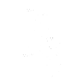 COC(=O)Cc1ccc(OC)c(-c2ccc(OC)cc2CN2C(=O)O[C@H](c3ccccc3)[C@@H]2C)c1